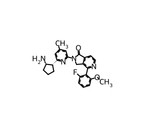 COc1cccc(F)c1-c1nccc2c1CN(c1cc(C)cc([C@@H]3CCC[C@H]3N)n1)C2=O